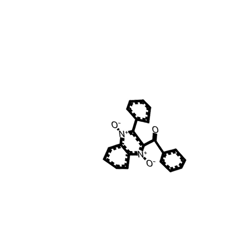 O=C(c1ccccc1)c1c(-c2ccccc2)[n+]([O-])c2ccccc2[n+]1[O-]